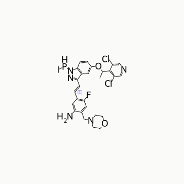 CC(Oc1ccc2c(c1)c(/C=C/c1cc(N)c(CN3CCOCC3)cc1F)nn2PI)c1c(Cl)cncc1Cl